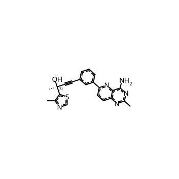 Cc1nc(N)c2nc(-c3cccc(C#C[C@](C)(O)c4scnc4C)c3)ccc2n1